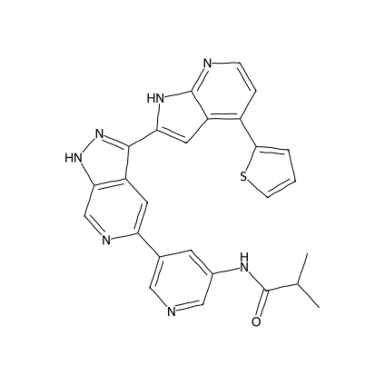 CC(C)C(=O)Nc1cncc(-c2cc3c(-c4cc5c(-c6cccs6)ccnc5[nH]4)n[nH]c3cn2)c1